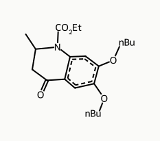 CCCCOc1cc2c(cc1OCCCC)N(C(=O)OCC)C(C)CC2=O